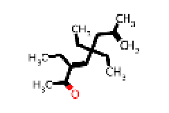 C=C(C)CC(/C=C(\CC)C(C)=O)(CC)CC